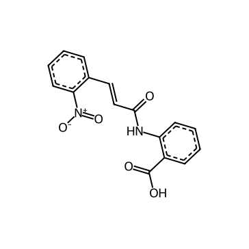 O=C(C=Cc1ccccc1[N+](=O)[O-])Nc1ccccc1C(=O)O